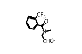 CN(C[C]=O)C(=O)c1ccccc1C(F)(F)F